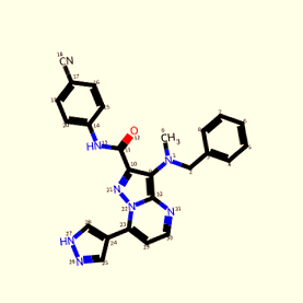 CN(Cc1ccccc1)c1c(C(=O)Nc2ccc(C#N)cc2)nn2c(-c3cn[nH]c3)ccnc12